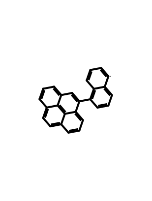 [c]1cccc2c(-c3cc4cccc5ccc6cccc3c6c54)cccc12